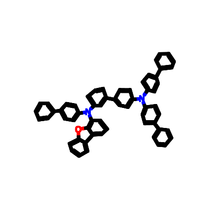 c1ccc(-c2ccc(N(c3ccc(-c4ccccc4)cc3)c3ccc(-c4cccc(N(c5ccc(-c6ccccc6)cc5)c5cccc6c5oc5ccccc56)c4)cc3)cc2)cc1